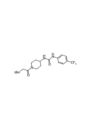 CC(C)(C)CC(=O)N1CCC(NC(=O)Nc2ccc(C(F)(F)F)cc2)CC1